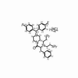 CC(C)CCN(CCC(C)C)C(Cc1ccccc1)C(=O)N1CCN(C(c2ccc(F)cc2)c2ccc(F)cc2)CC1.Cl.Cl